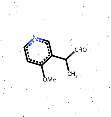 COc1ccncc1C(C)C=O